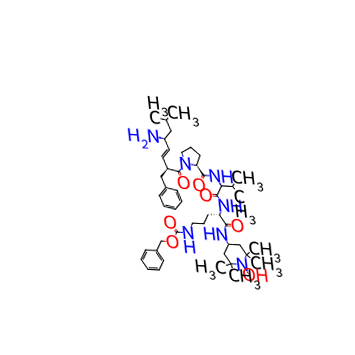 CC(C)C[C@H](N)/C=C/[C@H](Cc1ccccc1)C(=O)N1CCC[C@H]1C(=O)N[C@H](C(=O)N[C@@H](CCCNC(=O)OCc1ccccc1)C(=O)NC1CC(C)(C)N(O)C(C)(C)C1)C(C)C